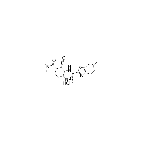 CN1CCc2nc(C(=O)NC3C(=C=O)C(C(=O)N(C)C)CCC3N)sc2C1.Cl